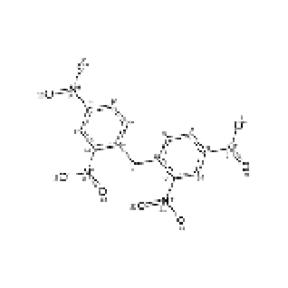 O=[N+]([O-])c1ccc([CH]c2ccc([N+](=O)[O-])cc2[N+](=O)[O-])c([N+](=O)[O-])c1